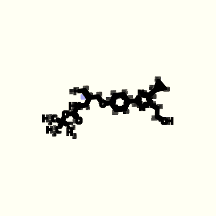 CC(C)(C)OC(=O)NC/C(=C\F)COc1ccc(-c2nc(C3CC3)n(CCO)n2)cc1